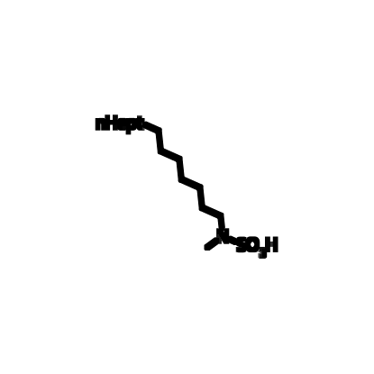 CCCCCCCCCCCCCCN(C)S(=O)(=O)O